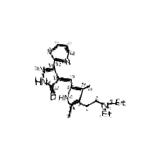 CCN(CC)CCc1c(C)[nH]c(C=C2C(=O)NN=C2c2ncccn2)c1C